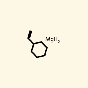 C=CC1CCCCC1.[MgH2]